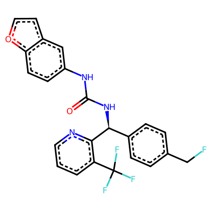 O=C(Nc1ccc2occc2c1)N[C@@H](c1ccc(CF)cc1)c1ncccc1C(F)(F)F